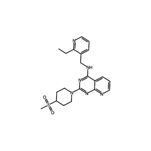 CCc1ncccc1CNc1nc(N2CCC(S(C)(=O)=O)CC2)nc2ncccc12